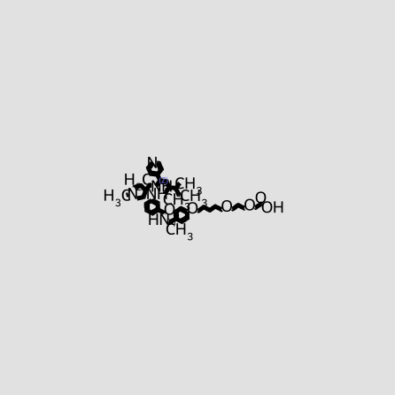 C=C(N/C(=C\C(CC)C(C)CC)c1ccncc1)C1(Nc2cccc(C(=O)N[C@H](C)c3ccc(OCCCCCOCCCOCC(=O)O)cc3)c2)CCN(C)CC1